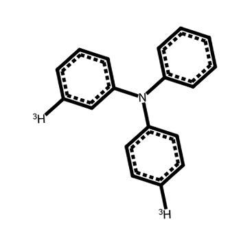 [3H]c1ccc(N(c2ccccc2)c2cccc([3H])c2)cc1